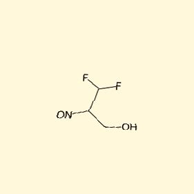 O=NC(CO)C(F)F